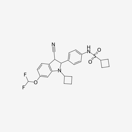 N#CC1c2ccc(OC(F)F)cc2N(C2CCC2)C1c1ccc(NS(=O)(=O)C2CCC2)cc1